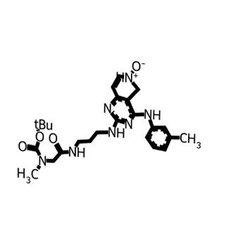 Cc1cccc(Nc2nc(NCCCNC(=O)CN(C)C(=O)OC(C)(C)C)nc3c2C[NH+]([O-])C=C3)c1